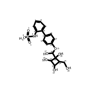 CS(=O)(=O)Nc1ccccc1-c1ccc(OC(O)C2(O)C(O)C(O)C2CO)cc1